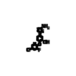 Cl.Nc1[c]cn(-c2ccc(Oc3ncc(Cl)cc3F)cc2)n1